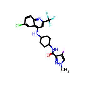 Cn1cc(I)c(C(=O)NC2CCC(Nc3cc(C(F)(F)F)nc4ccc(Cl)cc34)CC2)n1